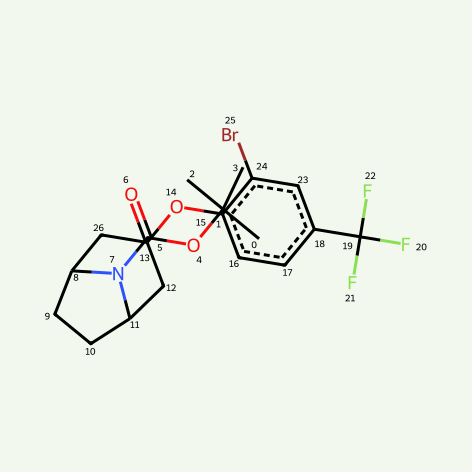 CC(C)(C)OC(=O)N1C2CCC1CC(Oc1ccc(C(F)(F)F)cc1Br)C2